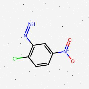 N=Nc1cc([N+](=O)[O-])ccc1Cl